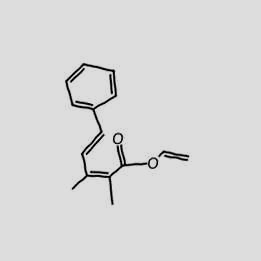 C=COC(=O)C(C)=C(C)C=Cc1ccccc1